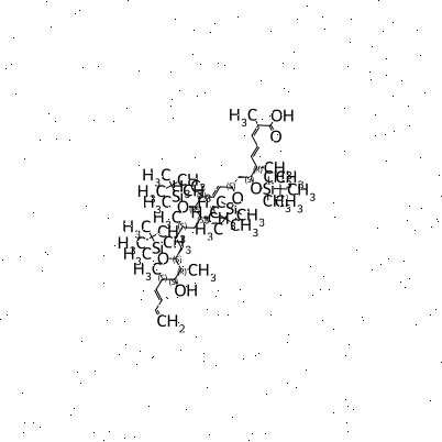 C=CC=C[C@H](C)[C@H](O)[C@@H](C)[C@H](CC[C@H](C)C[C@H](C)[C@@H](O[Si](C)(C)C(C)(C)C)[C@@H](C)C=C[C@H](C[C@H](O[Si](C)(C)C(C)(C)C)[C@H](C)C=CC=C(C)C(=O)O)O[Si](C)(C)C(C)(C)C)O[Si](C)(C)C(C)(C)C